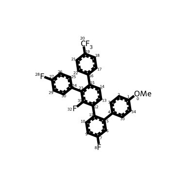 COc1ccc(-c2cc(F)ccc2-c2c[c]c(-c3ccc(C(F)(F)F)cc3)c(-c3ccc(F)cc3)c2F)cc1